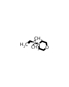 C=C[Si](C)(C)N1CCOCC1